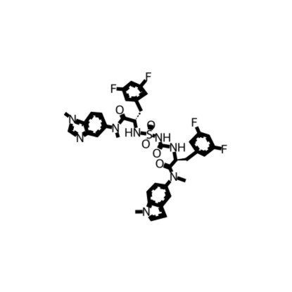 CN(C(=O)[C@H](Cc1cc(F)cc(F)c1)NC(=O)NS(=O)(=O)N[C@@H](Cc1cc(F)cc(F)c1)C(=O)N(C)c1ccc2c(c1)ncn2C)c1ccc2c(ccn2C)c1